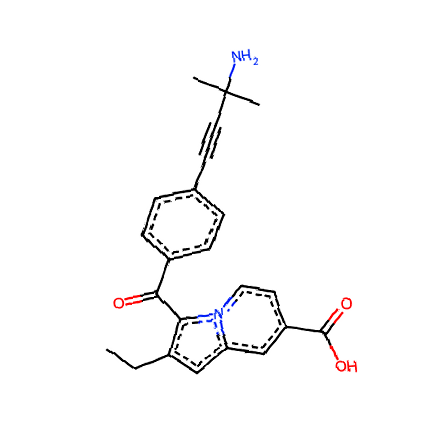 CCc1cc2cc(C(=O)O)ccn2c1C(=O)c1ccc(C#CC(C)(C)N)cc1